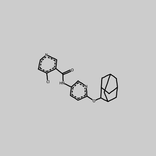 O=C(Nc1ccc(OC2C3CC4CC(C3)CC2C4)nc1)c1cnccc1Cl